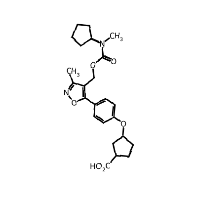 Cc1noc(-c2ccc(OC3CCC(C(=O)O)C3)cc2)c1COC(=O)N(C)C1CCCC1